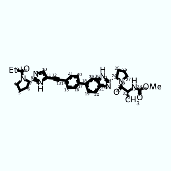 CCC(=O)N1CCC[C@H]1c1ncc(C#Cc2ccc(-c3ccc4nc([C@@H]5CCCN5C(=O)[C@H](C)NC(=O)OC)[nH]c4c3)cc2)[nH]1